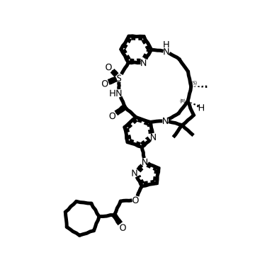 C[C@H]1CCNc2cccc(n2)S(=O)(=O)NC(=O)c2ccc(-n3ccc(OCC(=O)C4CCCCCC4)n3)nc2N2C[C@@H]1CC2(C)C